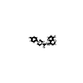 Cc1ccc(N2CCN(C(=S)N/N=C3/CCOc4c(F)ccnc43)CC2)cc1